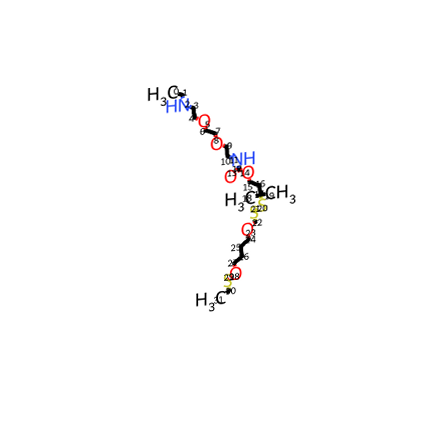 CCNCCOCCOCCNC(=O)OCCC(C)(C)SSCOCCCCOSCC